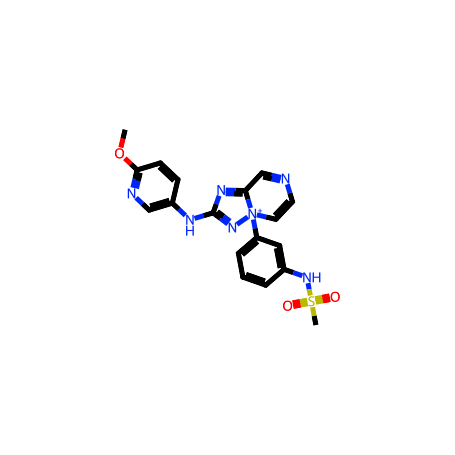 COc1ccc(NC2=N[N+]3(c4cccc(NS(C)(=O)=O)c4)C=CN=CC3=N2)cn1